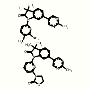 Cc1ncc(-c2ccc3c(c2)N(c2ccc(C)c(N)n2)C(=O)C3(C)C)cn1.Cc1ncc(-c2ccc3c(c2)N(c2cccc(N4CCOC4=O)n2)C(=O)C3(C)C)cn1